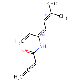 C=C=CC(=O)N/C(C=C)=C/C=C(\C)C=O